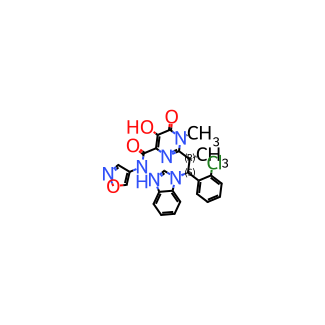 C[C@@H](c1nc(C(=O)Nc2cnoc2)c(O)c(=O)n1C)[C@@H](c1ccccc1Cl)n1cnc2ccccc21